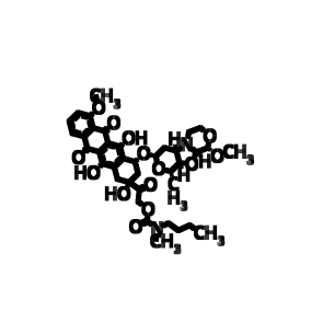 CCCCN(C)C(=O)OCC(=O)[C@]1(O)Cc2c(O)c3c(c(O)c2[C@@H](O[C@H]2C[C@H]4[C@H](O[C@@H]5[C@@H](OC)OCCN54)[C@H](C)O2)C1)C(=O)c1c(OC)cccc1C3=O